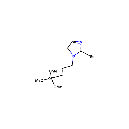 CCC1N=CCN1CCC[Si](OC)(OC)OC